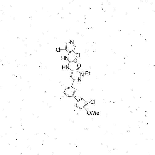 CCn1nc(-c2cccc(-c3ccc(OC)c(Cl)c3)c2)cc(NC(=O)Nc2c(Cl)cncc2Cl)c1=O